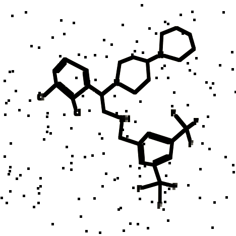 FC(F)(F)c1cc(CNCC(c2cccc(Cl)c2Cl)N2CCC(N3CCCCC3)CC2)cc(C(F)(F)F)c1